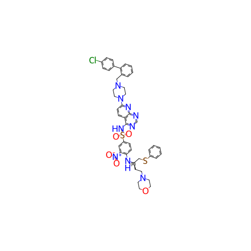 O=[N+]([O-])c1cc(S(=O)(=O)Nc2ncnc3nc(N4CCN(Cc5ccccc5-c5ccc(Cl)cc5)CC4)ccc23)ccc1N[C@H](CCN1CCOCC1)CSc1ccccc1